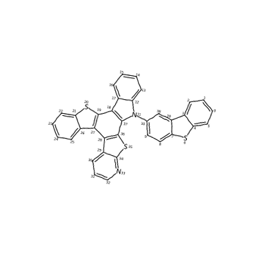 c1ccc2c(c1)sc1ccc(-n3c4ccccc4c4c5sc6ccccc6c5c5c6cccnc6sc5c43)cc12